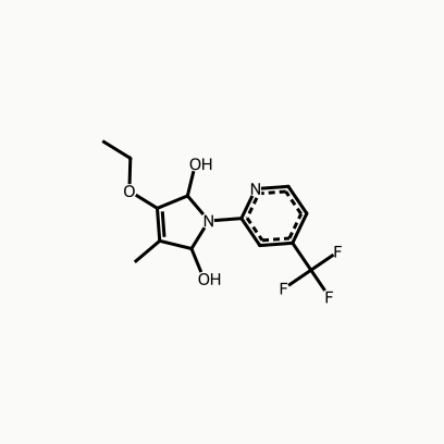 CCOC1=C(C)C(O)N(c2cc(C(F)(F)F)ccn2)C1O